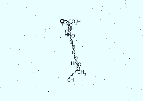 C#CCCCCCC(C)OCC(=O)NCCOCCOCCOCCOCCC(=O)NCC(=O)NCC(=O)N[C@@H](Cc1ccccc1)C(=O)O